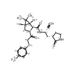 C#C[C@H](C[C@@H]1CCNC1=O)NC(=O)[C@@H]1[C@@H]2[C@H](CN1C(=O)COc1ccc(C(F)(F)F)cc1)C2(C)C